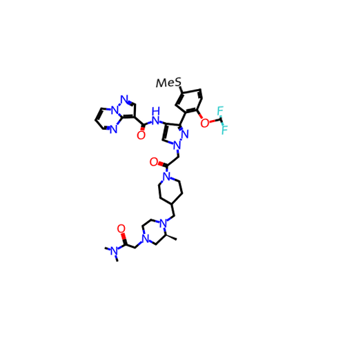 CSc1ccc(OC(F)F)c(-c2nn(CC(=O)N3CCC(CN4CCN(CC(=O)N(C)C)C[C@@H]4C)CC3)cc2NC(=O)c2cnn3cccnc23)c1